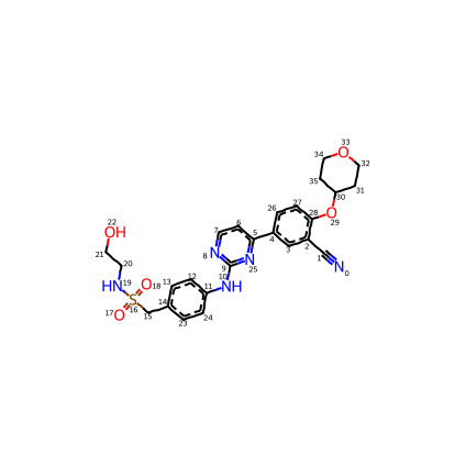 N#Cc1cc(-c2ccnc(Nc3ccc(CS(=O)(=O)NCCO)cc3)n2)ccc1OC1CCOCC1